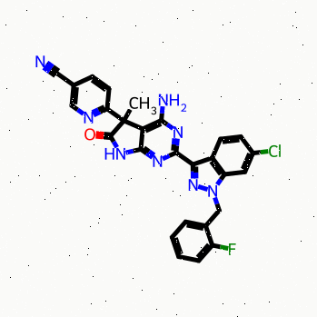 CC1(c2ccc(C#N)cn2)C(=O)Nc2nc(-c3nn(Cc4ccccc4F)c4cc(Cl)ccc34)nc(N)c21